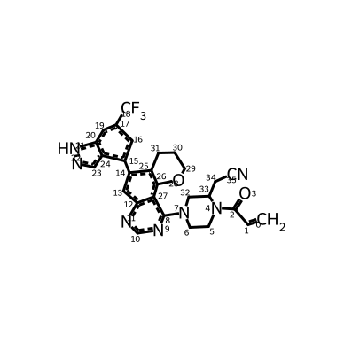 C=CC(=O)N1CCN(c2ncnc3cc(-c4cc(C(F)(F)F)cc5[nH]ncc45)c4c(c23)OCCC4)CC1CC#N